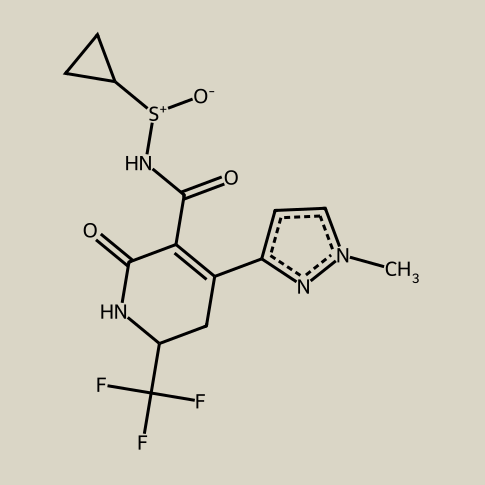 Cn1ccc(C2=C(C(=O)N[S+]([O-])C3CC3)C(=O)NC(C(F)(F)F)C2)n1